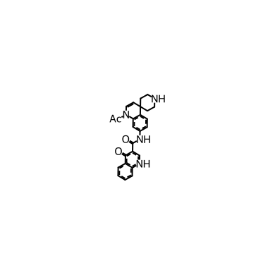 CC(=O)N1C=CC2(CCNCC2)c2ccc(NC(=O)c3c[nH]c4ccccc4c3=O)cc21